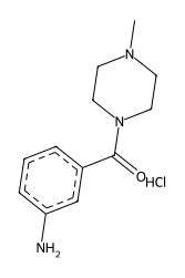 CN1CCN(C(=O)c2cccc(N)c2)CC1.Cl